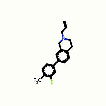 C=CCN1CCc2ccc(-c3ccc(C(F)(F)F)c(F)c3)cc2C1